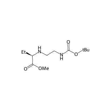 CC[C@@H](NCCNC(=O)OC(C)(C)C)C(=O)OC